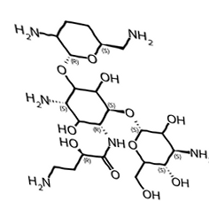 NCC[C@@H](O)C(=O)N[C@@H]1C(O)[C@H](N)C(O[C@H]2O[C@H](CN)CCC2N)C(O)[C@H]1O[C@H]1OC(CO)[C@@H](O)[C@H](N)C1O